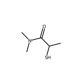 [CH2]C(S)C(=O)N(C)C